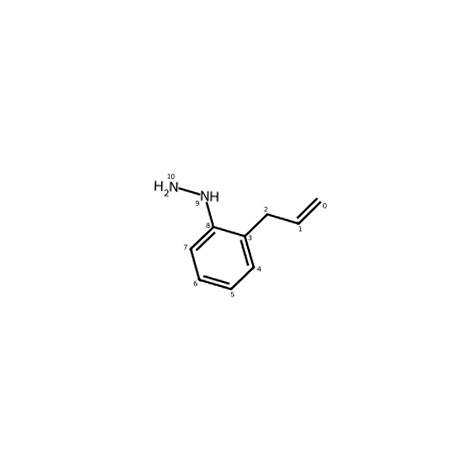 C=CCc1ccccc1NN